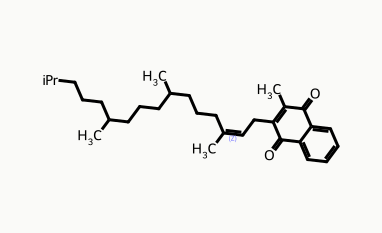 CC1=C(C/C=C(/C)CCCC(C)CCCC(C)CCCC(C)C)C(=O)c2ccccc2C1=O